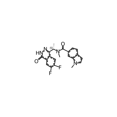 C[C@@H](c1n[nH]c(=O)c2cc(F)c(F)cc12)N(C)C(=O)c1ccc2ccn(C)c2c1